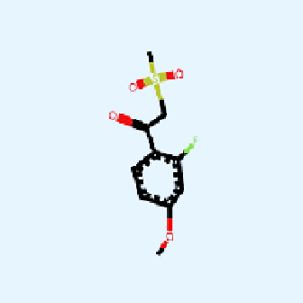 COc1ccc(C(=O)CS(C)(=O)=O)c(F)c1